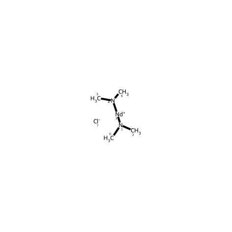 C[N](C)[Nd+][N](C)C.[Cl-]